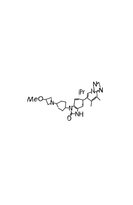 COC1CN(C2CCC(n3c(=O)[nH]c4cc(-c5cn6ncnc6c(C)c5C)c(C(C)C)cc43)CC2)C1